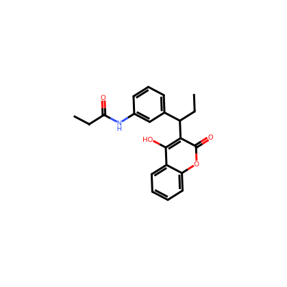 C[CH]C(=O)Nc1cccc(C(CC)c2c(O)c3ccccc3oc2=O)c1